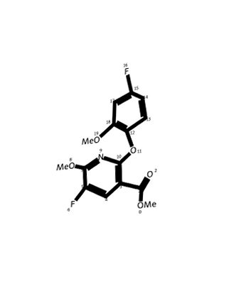 COC(=O)c1cc(F)c(OC)nc1Oc1ccc(F)cc1OC